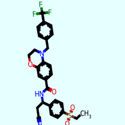 CCS(=O)(=O)c1ccc(C(CC#N)NC(=O)c2ccc3c(c2)OCCN3Cc2ccc(C(F)(F)F)cc2)cc1